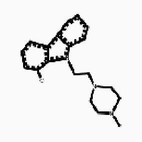 CN1CCN(CCn2c3ccccc3c3cccc(Cl)c32)CC1